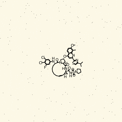 COc1ccc2c(O[C@@H]3C[C@H]4C(=O)N[C@]5(C(=O)NS(=O)(=O)N6CCCC6)C[C@H]5/C=C\CCCCC[C@H](Nc5cc(F)c(Cl)c(Cl)c5)C(=O)N4C3)cc(-c3nc(C(C)C)cs3)nc2c1C